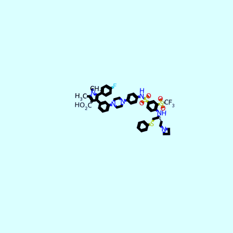 Cc1c(C(=O)O)c(-c2cccc(N3CCN(c4ccc(NS(=O)(=O)c5ccc(N[C@H](CCN6CCC6)CSc6ccccc6)c(S(=O)(=O)C(F)(F)F)c5)cc4)CC3)c2)c(-c2ccc(F)cc2)n1C